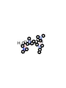 CC1(C)c2cc3c(cc2B2c4c(cccc41)-n1c4ccccc4c4cccc2c41)c1ccc2c(-c4ccc5c6c4C(C)(C)c4c(ccc7c4c4ccccc4n7-c4ccccc4)B6c4cccc6c7cc8ccccc8cc7n-5c46)cccc2c1n3-c1ccccc1